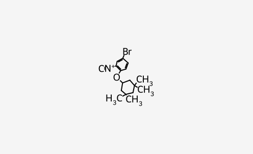 [C-]#[N+]c1cc(Br)ccc1OC1CC(C)(C)CC(C)(C)C1